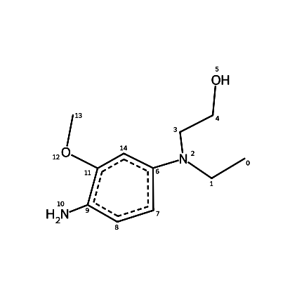 CCN(CCO)c1ccc(N)c(OC)c1